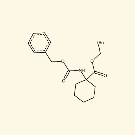 CC(C)(C)COC(=O)C1(NC(=O)OCc2ccccc2)CCCCC1